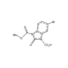 CC(C)(C)OC(=O)n1c(=O)n(C(=O)O)c2cc(Br)ccc21